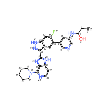 CC(C)CC(O)Nc1cncc(-c2cc3c(-c4nc5c(N6CCCCC6)nccc5[nH]4)n[nH]c3cc2F)c1